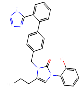 CCCc1cn(-c2ccccc2O)c(=O)n1Cc1ccc(-c2ccccc2-c2nnn[nH]2)cc1